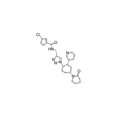 O=C(NCc1cn(-c2ccc(-n3ccccc3=O)cc2-c2cccnc2)nn1)c1ccc(Cl)s1